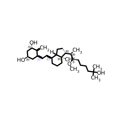 C=C1/C(=C\C=C2/CCC[C@]3(C)[C@@H]([C@@H](C)[C@@H](CCCCC(C)(C)O)OC)CC[C@@H]23)C[C@@H](O)C[C@@H]1O